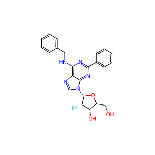 OC[C@H]1O[C@@H](n2cnc3c(NCc4ccccc4)nc(-c4ccccc4)nc32)[C@@H](F)[C@@H]1O